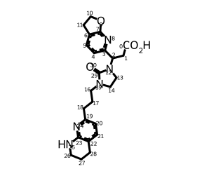 O=C(O)CC(c1ccc2c(n1)OCC2)N1CCN(CCCc2ccc3c(n2)NCCC3)C1=O